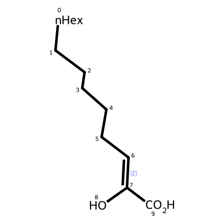 CCCCCCCCCCC/C=C(\O)C(=O)O